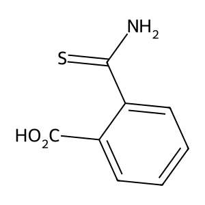 NC(=S)c1ccccc1C(=O)O